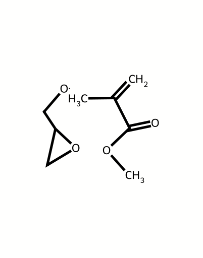 C=C(C)C(=O)OC.[O]CC1CO1